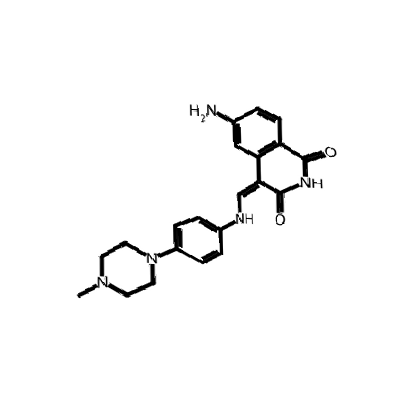 CN1CCN(c2ccc(NC=C3C(=O)NC(=O)c4ccc(N)cc43)cc2)CC1